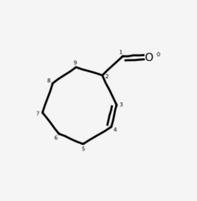 O=CC1C=CCCCCC1